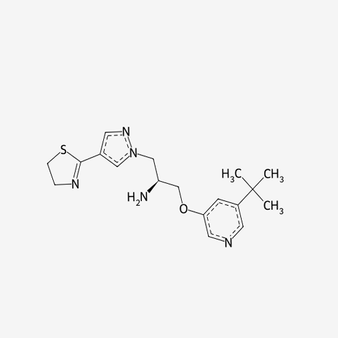 CC(C)(C)c1cncc(OC[C@@H](N)Cn2cc(C3=NCCS3)cn2)c1